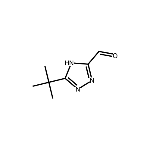 CC(C)(C)c1nnc(C=O)[nH]1